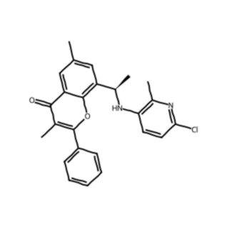 Cc1cc([C@@H](C)Nc2ccc(Cl)nc2C)c2oc(-c3ccccc3)c(C)c(=O)c2c1